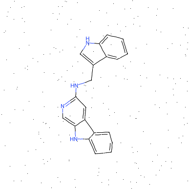 c1ccc2c(CNc3cc4c(cn3)[nH]c3ccccc34)c[nH]c2c1